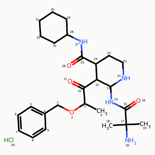 CC(OCc1ccccc1)C(=O)C1C(NC(=O)C(C)(C)N)NCCC1C(=O)NC1CCCCC1.Cl